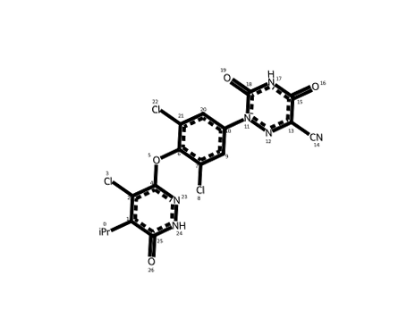 CC(C)c1c(Cl)c(Oc2c(Cl)cc(-n3nc(C#N)c(=O)[nH]c3=O)cc2Cl)n[nH]c1=O